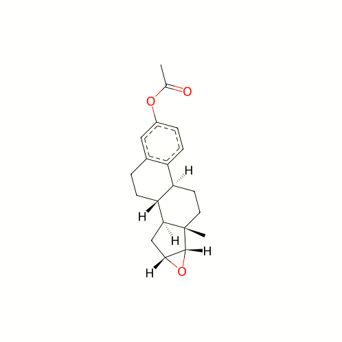 CC(=O)Oc1ccc2c(c1)CC[C@@H]1[C@@H]2CC[C@]2(C)[C@@H]3O[C@@H]3C[C@@H]12